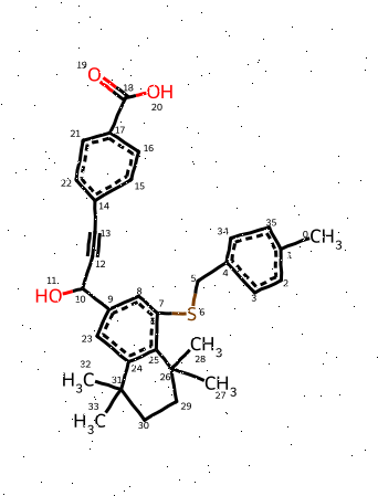 Cc1ccc(CSc2cc(C(O)C#Cc3ccc(C(=O)O)cc3)cc3c2C(C)(C)CCC3(C)C)cc1